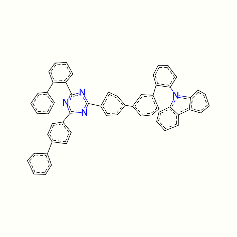 c1ccc(-c2ccc(-c3nc(-c4ccc(-c5cccc(-c6ccccc6-n6c7ccccc7c7ccccc76)c5)cc4)nc(-c4ccccc4-c4ccccc4)n3)cc2)cc1